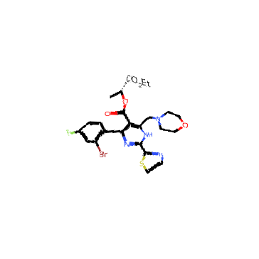 CCOC(=O)[C@@H](C)OC(=O)C1=C(CN2CCOCC2)NC(c2nccs2)=NC1c1ccc(F)cc1Br